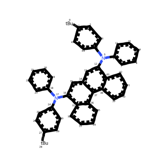 CC(C)(C)c1ccc(N(c2ccccc2)c2cc3cc(N(c4ccccc4)c4ccc(C(C)(C)C)cc4)c4ccccc4c3c3ccccc23)cc1